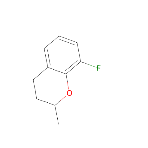 CC1CCc2cccc(F)c2O1